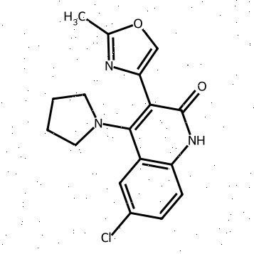 Cc1nc(-c2c(N3CCCC3)c3cc(Cl)ccc3[nH]c2=O)co1